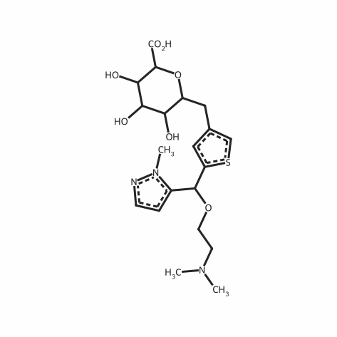 CN(C)CCOC(c1cc(CC2OC(C(=O)O)C(O)C(O)C2O)cs1)c1ccnn1C